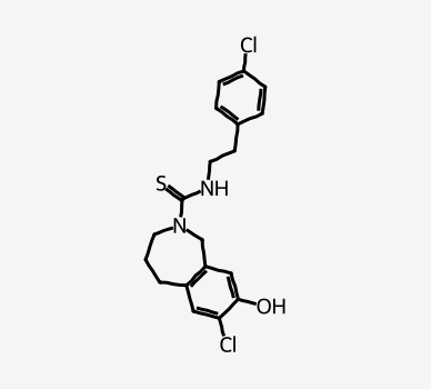 Oc1cc2c(cc1Cl)CCCN(C(=S)NCCc1ccc(Cl)cc1)C2